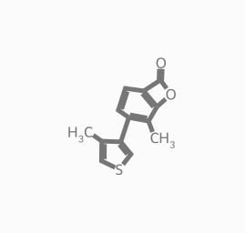 Cc1cscc1-c1ccc2c(c1C)OC2=O